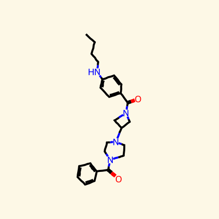 CCCCNc1ccc(C(=O)N2CC(N3CCN(C(=O)c4ccccc4)CC3)C2)cc1